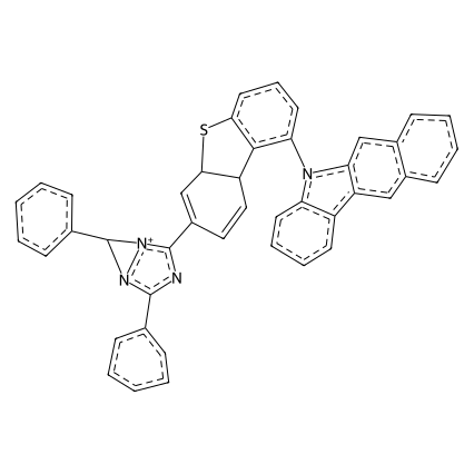 C1=CC2c3c(cccc3-n3c4ccccc4c4cc5ccccc5cc43)SC2C=C1c1nc(-c2ccccc2)n2[n+]1C2c1ccccc1